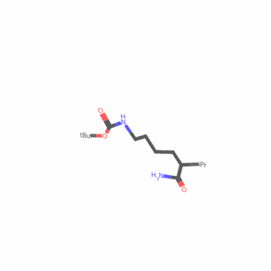 CC(C)C(CCCCNC(=O)OC(C)(C)C)C(N)=O